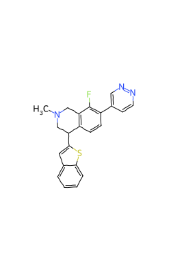 CN1Cc2c(ccc(-c3ccnnc3)c2F)C(c2cc3ccccc3s2)C1